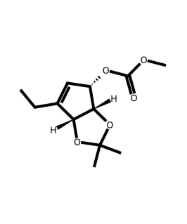 CCC1=C[C@H](OC(=O)OC)[C@@H]2OC(C)(C)O[C@H]12